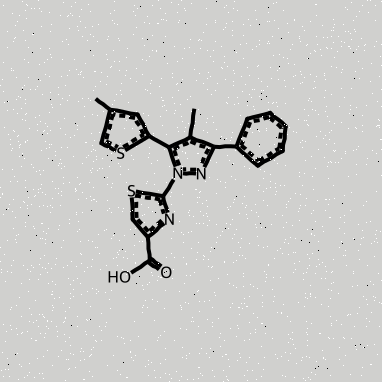 Cc1csc(-c2c(C)c(-c3ccccc3)nn2-c2nc(C(=O)O)cs2)c1